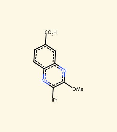 COc1nc2cc(C(=O)O)ccc2nc1C(C)C